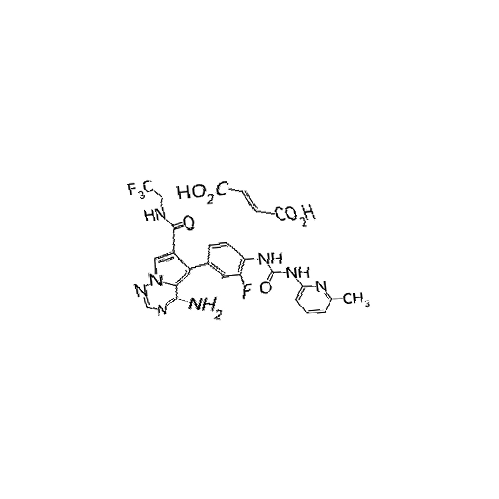 Cc1cccc(NC(=O)Nc2ccc(-c3c(C(=O)NCC(F)(F)F)cn4ncnc(N)c34)cc2F)n1.O=C(O)C=CC(=O)O